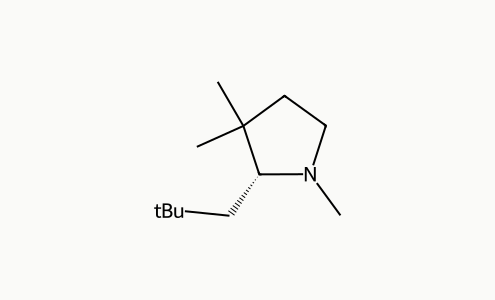 CN1CCC(C)(C)[C@H]1CC(C)(C)C